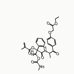 C=C(C)C(=O)OC(C(=N)OC(=O)NC)(C(=O)NC(C)C(=O)c1ccc(OCC(=O)OCC)cc1)c1ccccc1